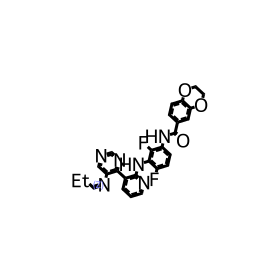 CC/C=N\c1cncnc1-c1cccnc1Nc1c(F)ccc(NC(=O)c2ccc3c(c2)OCCO3)c1F